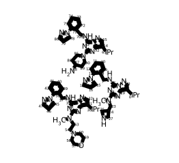 CC(C)c1cnn2c(NCc3ccccc3-n3cccn3)nc(N(C)CC3CNC3)nc12.CC(C)c1cnn2c(NCc3ccccc3-n3cccn3)nc(N(C)CCN3CCOCC3)nc12.CC(C)c1cnn2c(NCc3ccccc3-n3cccn3)nc(N3CCC(N)CC3)nc12